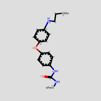 CCCCCNC(=O)Nc1ccc(Oc2ccc(NCCOC)cc2)cc1